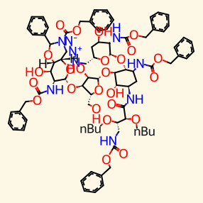 CCCCO[C@@H](CNC(=O)OCc1ccccc1)[C@H](OCCCC)C(=O)N[C@@H]1C[C@H](NC(=O)OCc2ccccc2)[C@@H](O[C@H]2O[C@H](CN=[N+]=[N-])C[C@@H](O)[C@H]2NC(=O)OCc2ccccc2)[C@H](O[C@@H]2O[C@H](CO)[C@@H](O[C@H]3O[C@H]4CN(C(=O)OCc5ccccc5)C(c5ccccc5)O[C@H]4[C@H](O)[C@H]3NC(=O)OCc3ccccc3)[C@H]2O)[C@H]1O